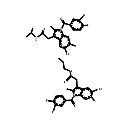 CCCNC(=O)Cc1c(C)n(C(=O)c2ccc(F)c(F)c2)c2cc(F)c(O)cc12.Cc1c(CC(=O)NC(C)C)c2cc(O)c(F)cc2n1C(=O)c1ccc(F)c(F)c1